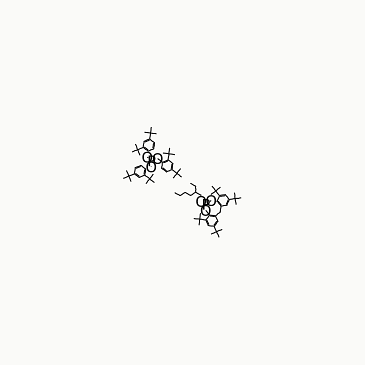 CC(C)(C)c1ccc(OP(Oc2ccc(C(C)(C)C)cc2C(C)(C)C)Oc2ccc(C(C)(C)C)cc2C(C)(C)C)c(C(C)(C)C)c1.CCCCC(CC)COP1Oc2c(cc(C(C)(C)C)cc2C(C)(C)C)Cc2cc(C(C)(C)C)cc(C(C)(C)C)c2O1